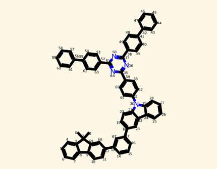 CC1(C)c2ccccc2-c2ccc(-c3cccc(-c4ccc5c(c4)c4ccccc4n5-c4ccc(-c5nc(-c6ccc(-c7ccccc7)cc6)nc(-c6ccc(-c7ccccc7)cc6)n5)cc4)c3)cc21